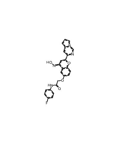 O=C(COc1ccc2oc(-c3cc4cccn4cn3)cc(=NO)c2c1)Nc1ccc(F)cc1